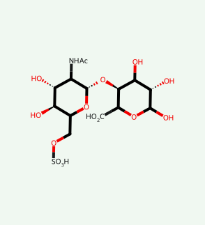 CC(=O)NC1[C@H](O[C@@H]2C(C(=O)O)OC(O)[C@@H](O)C2O)OC(COS(=O)(=O)O)[C@@H](O)[C@@H]1O